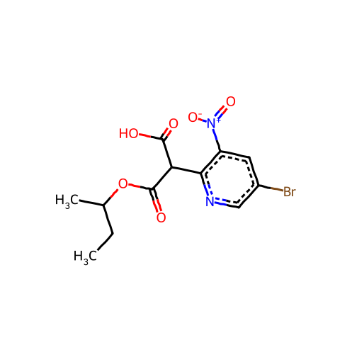 CCC(C)OC(=O)C(C(=O)O)c1ncc(Br)cc1[N+](=O)[O-]